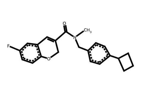 CN(Cc1ccc(C2CCC2)cc1)C(=O)C1=Cc2cc(F)ccc2OC1